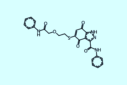 O=C(COCCSC1=CC(=O)c2[nH]nc(C(=O)Nc3ccccc3)c2C1=O)Nc1ccccc1